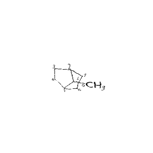 C[C]1C2CCC1CC2